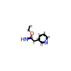 CCOC(=N)Cc1cccnc1